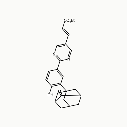 CCOC(=O)/C=C/c1cnc(-c2ccc(O)c(C34CC5CC(C3)C(=O)C(C5)C4)c2)nc1